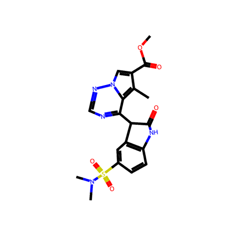 COC(=O)c1cn2ncnc(C3C(=O)Nc4ccc(S(=O)(=O)N(C)C)cc43)c2c1C